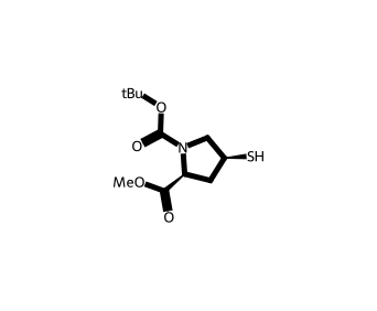 COC(=O)[C@@H]1C[C@H](S)CN1C(=O)OC(C)(C)C